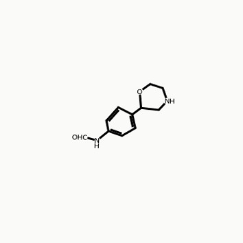 O=CNc1ccc(C2CNCCO2)cc1